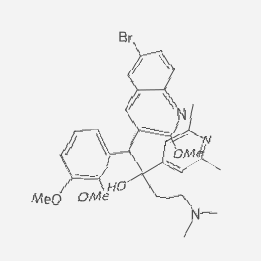 COc1cccc(C(c2cc3cc(Br)ccc3nc2OC)C(O)(CCN(C)C)c2cc(C)nc(C)c2)c1OC